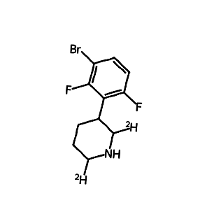 [2H]C1CCC(c2c(F)ccc(Br)c2F)C([2H])N1